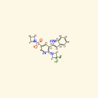 O=S(=O)(c1cnc(N2CC(F)(F)C2)c(-c2cc3ccccc3[nH]2)c1)N1CCC1